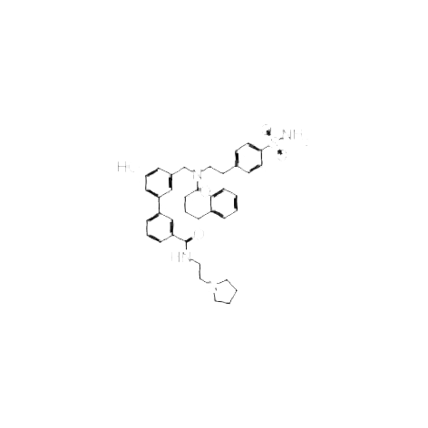 Cl.NS(=O)(=O)c1ccc(CCN(Cc2cccc(-c3cccc(C(=O)NCCN4CCCC4)c3)c2)C(=O)CCCc2ccccc2)cc1